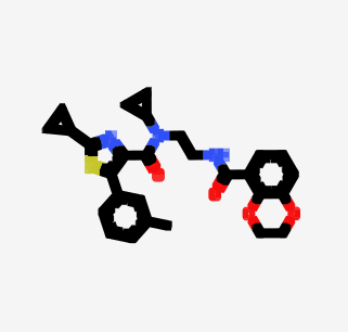 Cc1cccc(-c2sc(C3CC3)nc2C(=O)N(CCNC(=O)c2cccc3c2OCCO3)C2CC2)c1